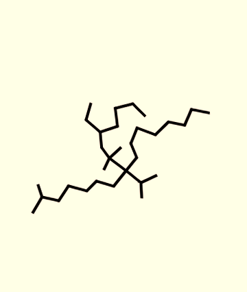 CCCCCCCCC(CCCCCC(C)C)([C](C)C)C(C)(C)CC(CC)CCCC